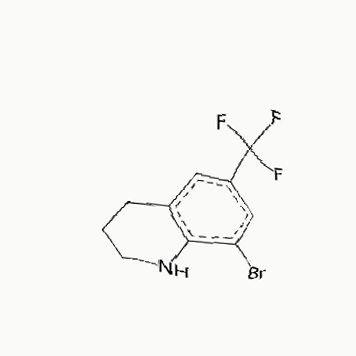 FC(F)(F)c1cc(Br)c2c(c1)CCCN2